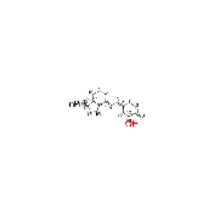 C=C1CC/C(=C/C=C2\CCC[C@]3(C)C(CCC)CCC23)C[C@H]1O